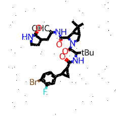 CC(C)(C)C(NC(=O)C1CC1c1ccc(Br)c(F)c1)C(=O)N1CC2C(C1C(=O)NC(C=O)CC1CCNC1=O)C2(C)C